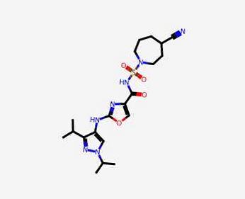 CC(C)c1nn(C(C)C)cc1Nc1nc(C(=O)NS(=O)(=O)N2CCCC(C#N)CC2)co1